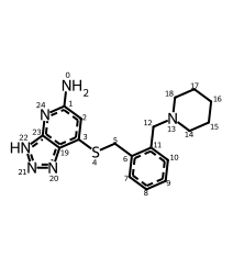 Nc1cc(SCc2ccccc2CN2CCCCC2)c2nn[nH]c2n1